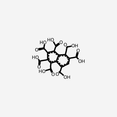 O=C(O)c1cc(C(=O)O)c2c(C(=O)O)c(C(=O)O)c(C(=O)O)c(C(=O)O)c2c1C(=O)O